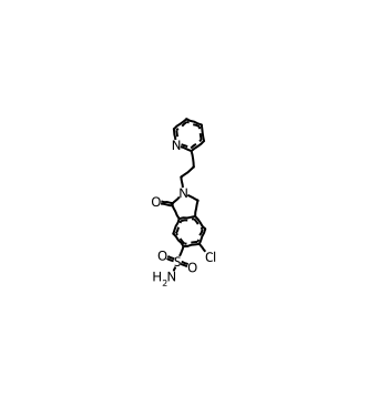 NS(=O)(=O)c1cc2c(cc1Cl)CN(CCc1ccccn1)C2=O